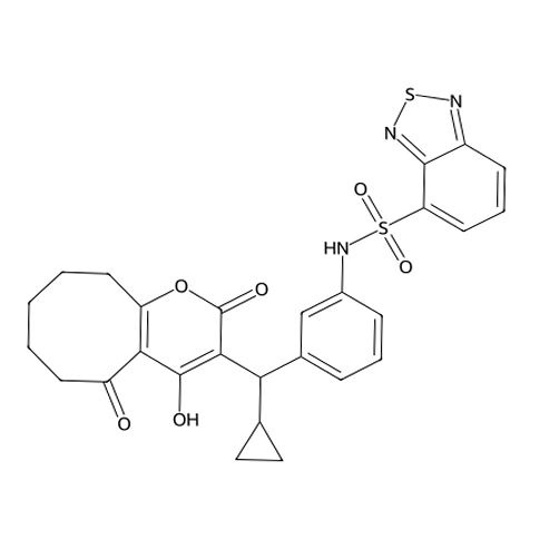 O=C1CCCCCc2oc(=O)c(C(c3cccc(NS(=O)(=O)c4cccc5nsnc45)c3)C3CC3)c(O)c21